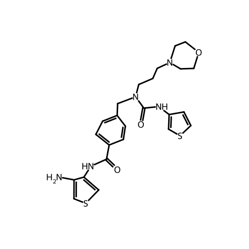 Nc1cscc1NC(=O)c1ccc(CN(CCCN2CCOCC2)C(=O)Nc2ccsc2)cc1